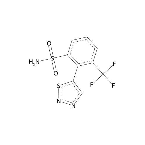 NS(=O)(=O)c1cccc(C(F)(F)F)c1-c1cnns1